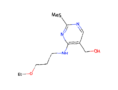 CCOCCCNc1nc(SC)ncc1CO